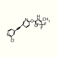 C[C@@H](NC(=O)Oc1ccc(C#Cc2ccnc(Cl)c2)cn1)C(F)(F)F